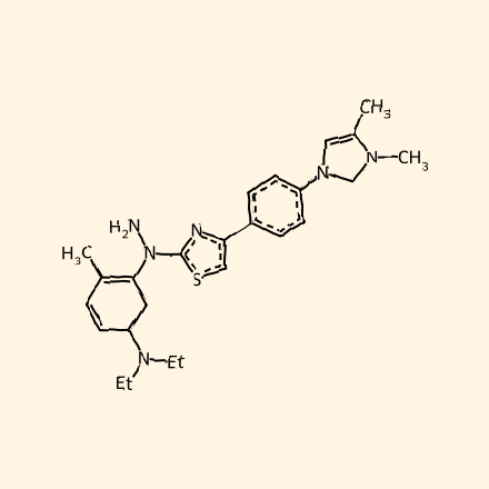 CCN(CC)C1C=CC(C)=C(N(N)c2nc(-c3ccc(N4C=C(C)N(C)C4)cc3)cs2)C1